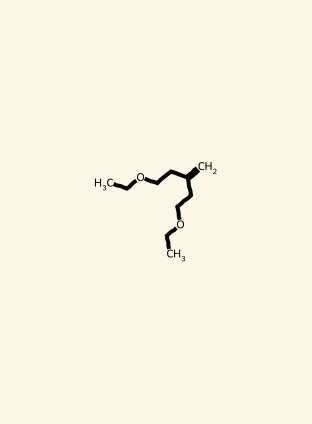 C=C(CCOCC)CCOCC